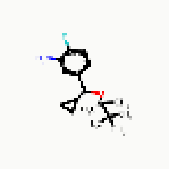 CC(C)(C)[Si](C)(C)OC(c1ccc(F)c(N)c1)C1CC1